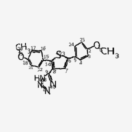 COc1ccc(-c2cc(-c3nnn[nH]3)c(-c3ccc(OC)cc3)s2)cc1